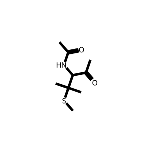 CSC(C)(C)C(NC(C)=O)C(C)=O